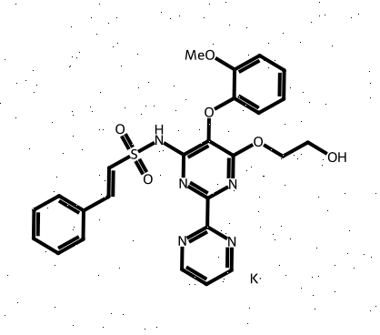 COc1ccccc1Oc1c(NS(=O)(=O)C=Cc2ccccc2)nc(-c2ncccn2)nc1OCCO.[K]